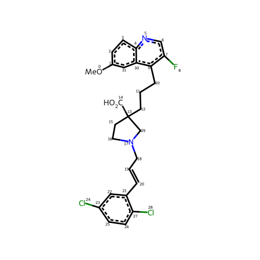 COc1ccc2ncc(F)c(CCCC3(C(=O)O)CCN(C/C=C/c4cc(Cl)ccc4Cl)C3)c2c1